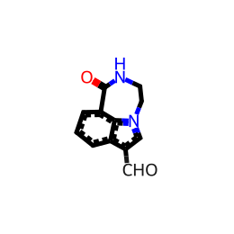 O=Cc1cn2c3c(cccc13)C(=O)NCC2